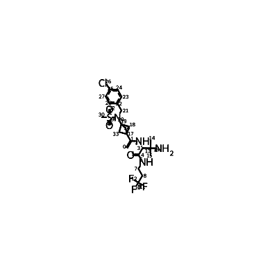 C=C(N[C@@H](C(=O)NCCC(F)(F)F)C(C)(C)N)C12CC(N(Cc3ccc(Cl)cc3)S(C)(=O)=O)(C1)C2